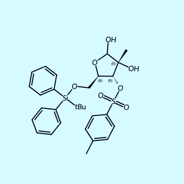 Cc1ccc(S(=O)(=O)O[C@@H]2[C@@H](CO[Si](c3ccccc3)(c3ccccc3)C(C)(C)C)OC(O)[C@]2(C)O)cc1